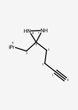 C#CCCC1(CC(C)C)NN1